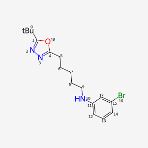 CC(C)(C)c1nnc(CCCCCNc2cccc(Br)c2)o1